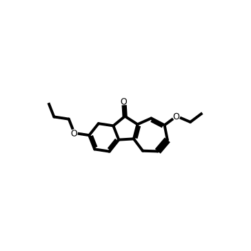 CCCOC1=CC=C2C3=C(C=C(OCC)C#CC3)C(=O)C2C1